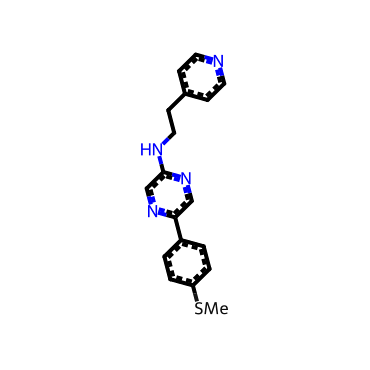 CSc1ccc(-c2cnc(NCCc3ccncc3)cn2)cc1